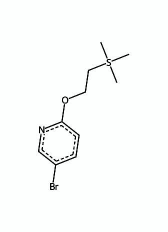 CS(C)(C)CCOc1ccc(Br)cn1